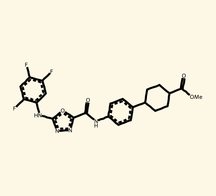 COC(=O)C1CCC(c2ccc(NC(=O)c3nnc(Nc4cc(F)c(F)cc4F)o3)cc2)CC1